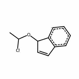 CC(Cl)OC1C=Cc2ccc[c]c21